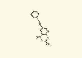 CC1=Nc2ncc(C#Cc3ccccc3)cc2C(=O)C1